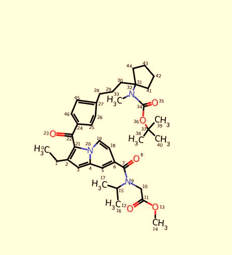 CCc1cc2cc(C(=O)N(CC(=O)OC)C(C)C)ccn2c1C(=O)c1ccc(CCCC2(N(C)C(=O)OC(C)(C)C)CCCC2)cc1